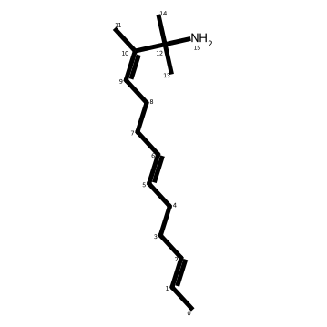 CC=CCCC=CCCC=C(C)C(C)(C)N